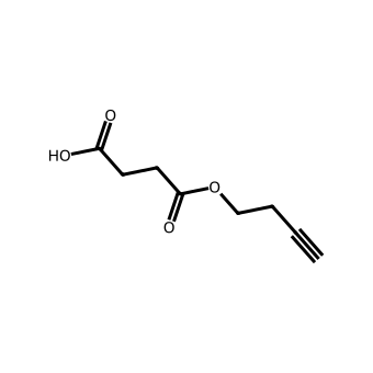 C#CCCOC(=O)CCC(=O)O